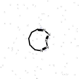 C1=N/N=N/N=N\CCCC\1